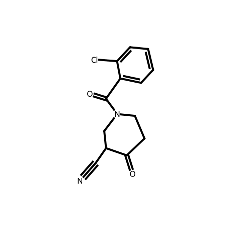 N#CC1CN(C(=O)c2ccccc2Cl)CCC1=O